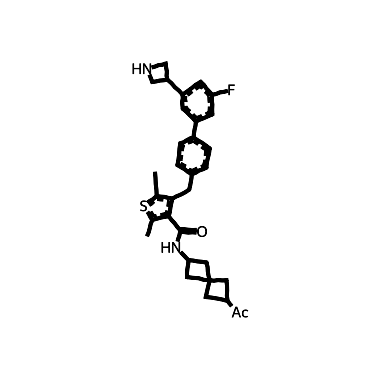 CC(=O)C1CC2(CC(NC(=O)c3c(C)sc(C)c3Cc3ccc(-c4cc(F)cc(C5CNC5)c4)cc3)C2)C1